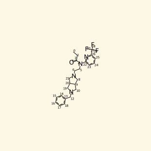 CCC(=O)N(CCN1CC2CN(Cc3ccccc3)CC2C1)c1cccc(C(F)(F)F)n1